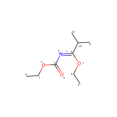 CCOC(=O)/N=C(\OCC)C(C)C